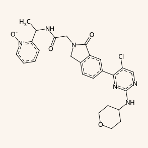 CC(NC(=O)CN1Cc2ccc(-c3nc(NC4CCOCC4)ncc3Cl)cc2C1=O)c1cccc[n+]1[O-]